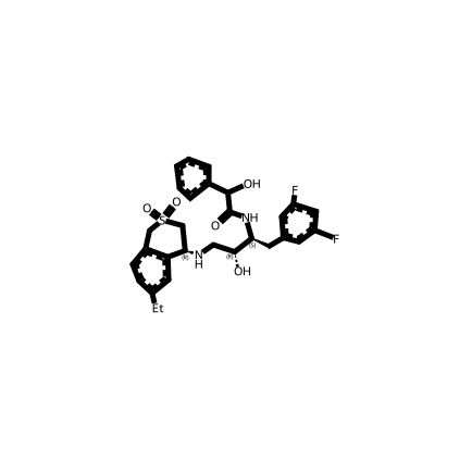 CCc1ccc2c(c1)[C@@H](NC[C@@H](O)[C@H](Cc1cc(F)cc(F)c1)NC(=O)C(O)c1ccccc1)CS(=O)(=O)C2